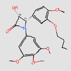 CCCCOc1cc([C@H]2[C@@H](O)C(=O)N2c2cc(OC)c(OC)c(OC)c2)ccc1OC